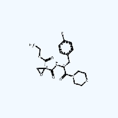 CCOC(=O)[C@@]1(C(=O)N[C@@H](Cc2ccc(F)cc2)C(=O)N2CCOCC2)CO1